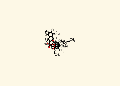 C=CCOC(=O)Oc1cc2c(cc1OC)[C@@]1(CS[C@@H]3c4c(OC(C)=O)c(C)c5c(c4[C@H](COC1=O)N1C3[C@@H]3c4c(cc(C)c(OC)c4O)C[C@H]([C@@H]1C#N)N3C(=O)OCC=C)OCO5)NCC2